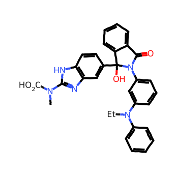 CCN(c1ccccc1)c1cccc(N2C(=O)c3ccccc3C2(O)c2ccc3[nH]c(N(C)C(=O)O)nc3c2)c1